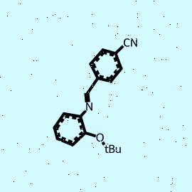 CC(C)(C)Oc1ccccc1N=Cc1ccc(C#N)cc1